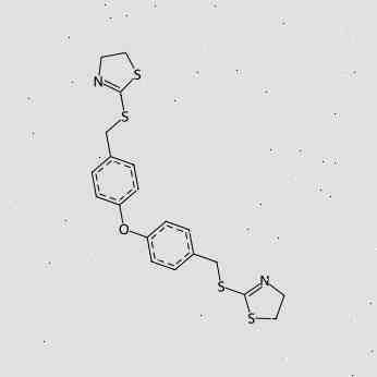 c1cc(Oc2ccc(CSC3=NCCS3)cc2)ccc1CSC1=NCCS1